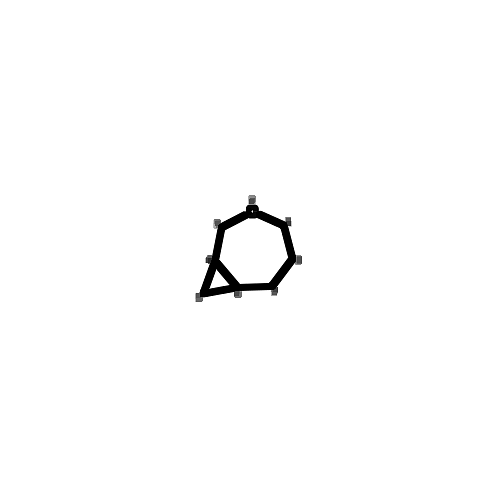 C1COCC2CC2C1